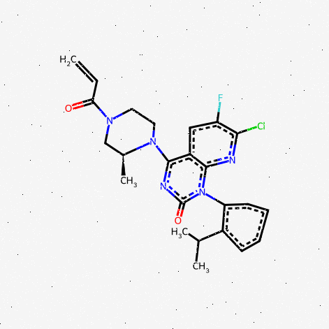 C=CC(=O)N1CCN(c2nc(=O)n(-c3ccccc3C(C)C)c3nc(Cl)c(F)cc23)[C@@H](C)C1